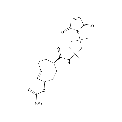 CNC(=O)OC1/C=C/CC[C@@H](C(=O)NC(C)(C)CC(C)(C)N2C(=O)C=CC2=O)CC1